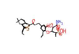 CCc1cc(CCC(=O)c2sc(CC)c3c2CCC(C)(C)C3)cc(C)c1OC(C(O)C(N)=O)C(C)S(=O)(=O)O